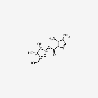 Nc1c(C(=O)O[C@H]2O[C@@H](CO)[C@H](O)[C@@H]2O)ncn1N